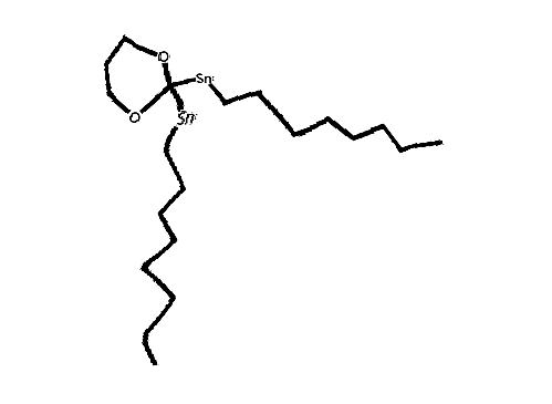 CCCCCCC[CH2][Sn][C]1([Sn][CH2]CCCCCCC)OCCCO1